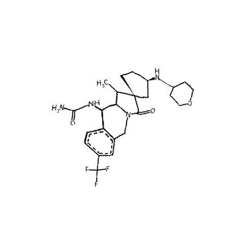 CC1C2C(NC(N)=O)c3ccc(C(F)(F)F)cc3CN2C(=O)[C@]12CC[C@@H](NC1CCOCC1)C2